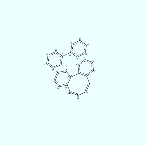 C1=Cc2ccccc2-c2ccccc2N=N1.c1ccc(-c2ccccc2)cc1